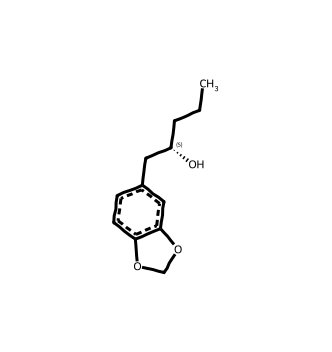 CCC[C@H](O)Cc1ccc2c(c1)OCO2